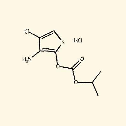 CC(C)OC(=O)Oc1scc(Cl)c1N.Cl